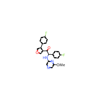 COc1cncc(NC(C(=O)c2cocc2-c2ccc(F)cc2)c2ccc(F)cc2)n1